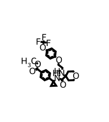 COC(=O)c1ccc(C2(NC(=O)C3(NCCOc4ccc(OC(F)(F)F)cc4)CCOCC3)CC2)cc1